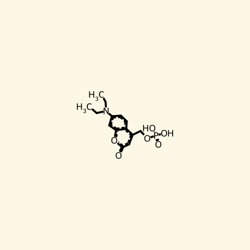 CCN(CC)c1ccc2c(COP(=O)(O)O)cc(=O)oc2c1